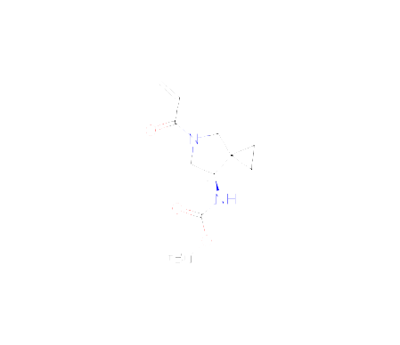 C=CC(=O)N1C[C@H](NC(=O)OC(C)(C)C)C2(CC2)C1